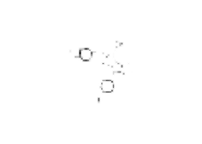 O=C1C2C(=C3CCCN3C2c2ccc(Br)cc2)C(C2CC2)N1Cc1ccc2c(c1)OCO2